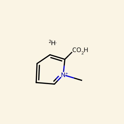 C[n+]1ccccc1C(=O)O.[2H]